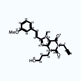 C#CCn1c(=O)c2c(nc(C=Cc3cccc(OC)c3)n2C)n(CCCO)c1=O